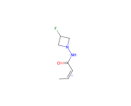 C/C=C\C(=O)NN1CC(F)C1